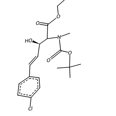 CCOC(=O)C([C@H](O)/C=C/c1ccc(Cl)cc1)N(C)C(=O)OC(C)(C)C